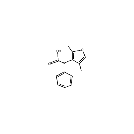 Cc1coc(C)c1N(C(=O)O)c1ccccc1